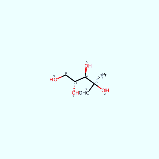 CCC[C@](O)(C=O)[C@H](O)[C@H](O)CO